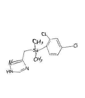 C[Si](C)(Cc1nc[nH]n1)c1ccc(Cl)cc1Cl